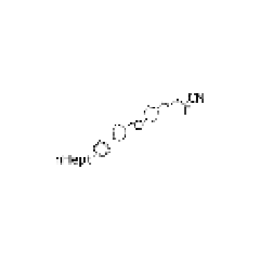 CCCCCCCc1ccc([C@H]2CC[C@H](CO[C@H]3CC[C@H](C=CC=C(F)C#N)CC3)CC2)cc1